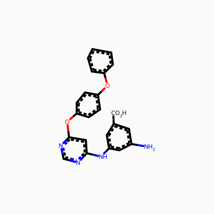 Nc1cc(Nc2cc(Oc3ccc(Oc4ccccc4)cc3)ncn2)cc(C(=O)O)c1